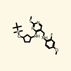 COc1ccc(NCc2cnc(SC)nc2NC2CCC(O[Si](C)(C)C(C)(C)C)C2)c(F)c1